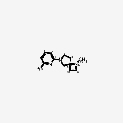 CC(C)c1cccc(N2CC[C@@]3(CCN3C)C2)n1